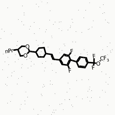 CCCC1COC(C2CCC(/C=C/c3cc(F)c(-c4ccc(C(F)(F)OC(F)(F)F)cc4)c(F)c3)CC2)OC1